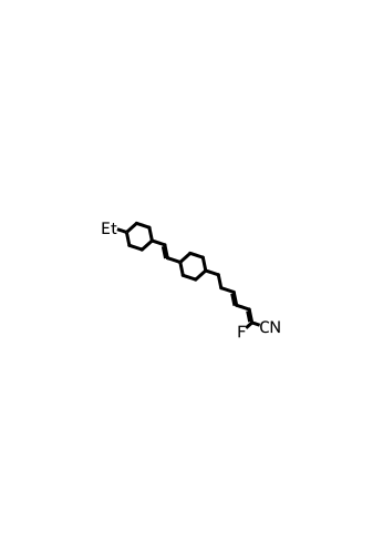 CCC1CCC(/C=C/C2CCC(CCC=CC=C(F)C#N)CC2)CC1